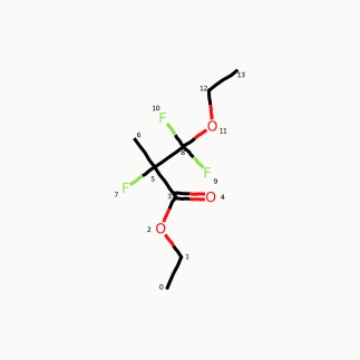 CCOC(=O)C(C)(F)C(F)(F)OCC